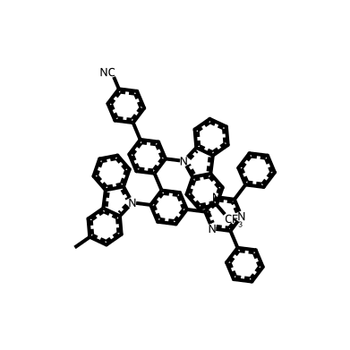 Cc1ccc2c(c1)c1ccccc1n2-c1ccc(-c2nc(-c3ccccc3)nc(-c3ccccc3)n2)cc1-c1ccc(-c2ccc(C#N)cc2)cc1-n1c2ccccc2c2cc(C(F)(F)F)ccc21